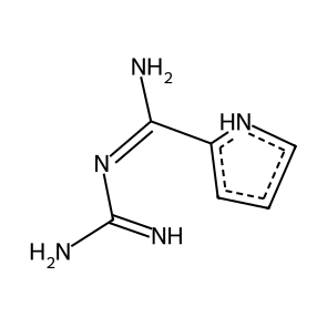 N=C(N)/N=C(/N)c1ccc[nH]1